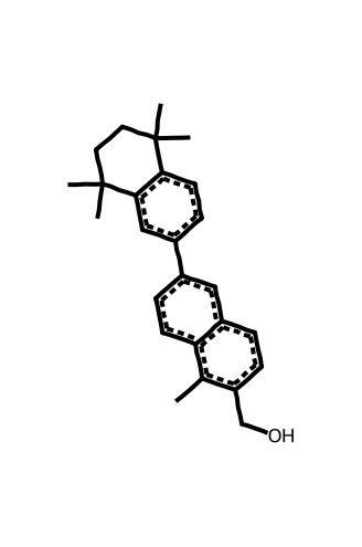 Cc1c(CO)ccc2cc(-c3ccc4c(c3)C(C)(C)CCC4(C)C)ccc12